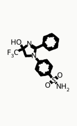 NS(=O)(=O)c1ccc(N2CC(O)(C(F)(F)F)N=C2c2ccccc2)cc1